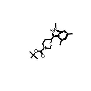 Cc1cc(C)c2c(C3CCN(C(=O)OC(C)(C)C)CC3)nn(C)c2c1